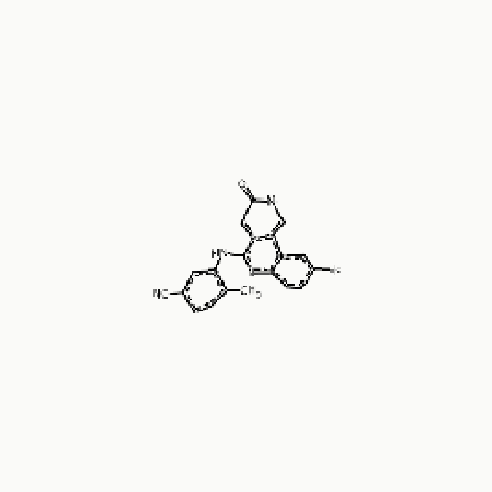 Cc1ccc(C#N)cc1Nc1nc2ccc(F)cc2c2c1=CC(=O)[N]C=2